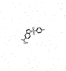 Cc1ccc(S(=O)(=O)n2ccc3cc(C(C)O)ccc32)cc1